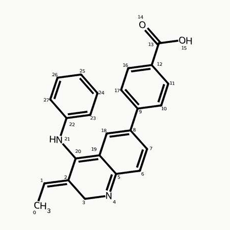 C/C=C1\CN=c2ccc(-c3ccc(C(=O)O)cc3)cc2=C1Nc1ccccc1